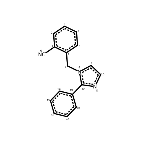 N#Cc1ccccc1Cn1ccnc1-c1ccccc1